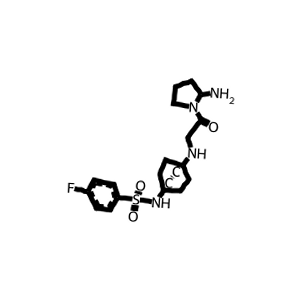 NC1CCCN1C(=O)CNC12CCC(NS(=O)(=O)c3ccc(F)cc3)(CC1)CC2